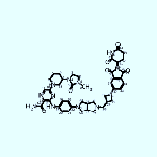 CN1CCN([C@@H]2CCCN(c3cnc(C(N)=O)c(Nc4ccc(N5CC6CN(CC7CN(c8ccc9c(c8)C(=O)N(C8CCC(=O)NC8=O)C9=O)C7)CC6C5)cc4)n3)C2)C1=O